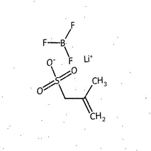 C=C(C)CS(=O)(=O)[O-].FB(F)F.[Li+]